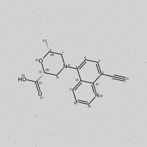 C#Cc1ccc(N2C[C@@H](C)O[C@@H](C(=O)O)C2)c2cccnc12